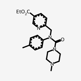 CCOC(=O)c1ccc(CN(C(=O)N2CCN(C)CC2)c2ccc(C)cc2)nc1